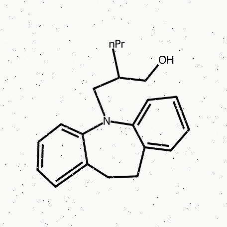 CCCC(CO)CN1c2ccccc2CCc2ccccc21